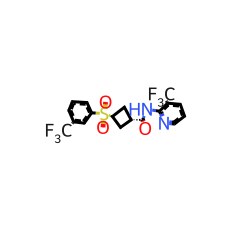 O=C(Nc1ncccc1C(F)(F)F)[C@H]1C[C@H](S(=O)(=O)c2cccc(C(F)(F)F)c2)C1